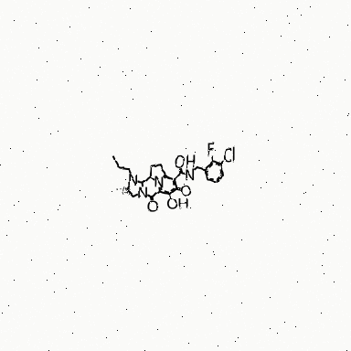 CCCN1C2C3CCc4c(C(=O)NCc5cccc(Cl)c5F)c(=O)c(O)c(n43)C(=O)N2C[C@@H]1C